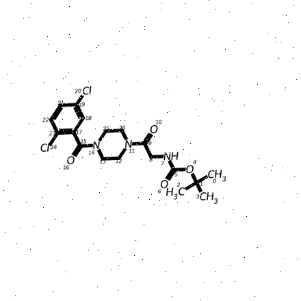 CC(C)(C)OC(=O)NCC(=O)N1CCN(C(=O)c2cc(Cl)ccc2Cl)CC1